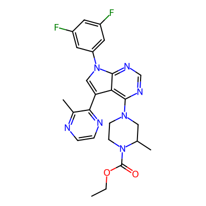 CCOC(=O)N1CCN(c2ncnc3c2c(-c2nccnc2C)cn3-c2cc(F)cc(F)c2)CC1C